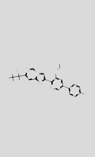 CCSc1cc(-c2ccc(Cl)cc2)cnc1-c1cn2cnc(C(F)(F)C(F)(F)F)cc2n1